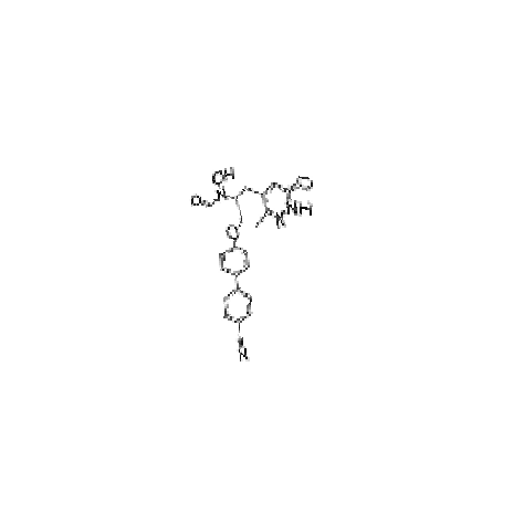 Cc1n[nH]c(=O)cc1CC(COc1ccc(-c2ccc(C#N)cc2)cc1)N(O)C=O